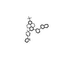 CC(C)(C)c1cc2c3c(c1)CCc1c(C4(C)C=CC(c5ccccn5)=CC4)cc(-c4cccc(-c5ccc6ccccc6c5)c4)c(c1-3)CC2